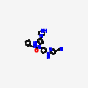 N#Cc1ccc(N[C@H]2CC[C@H](N(C(=O)NCc3ccccc3)c3ccc(N4CCNCC4)cc3)CC2)nc1